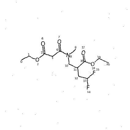 CCOC(=O)CC(=O)N(C)CC(CC(F)F)C(=O)OCC